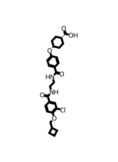 O=C(NCCNC(=O)c1ccc(OCC2CCC2)c(Cl)c1)c1ccc(O[C@H]2CC[C@@H](C(=O)O)CC2)cc1